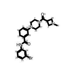 CN1CC(C(=O)N2CCN(C3=CCCC(C(=O)Nc4cccc(Br)c4)=C3)CC2)C1